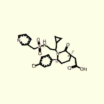 C[C@]1(CC(=O)O)CC[C@@H](c2ccc(Cl)cc2)N(C(CNS(=O)(=O)Cc2cccnc2)C2CC2)C1=O